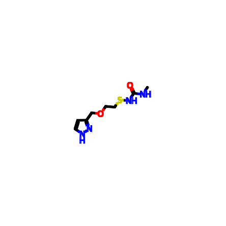 CNC(=O)NSCCOCc1cc[nH]n1